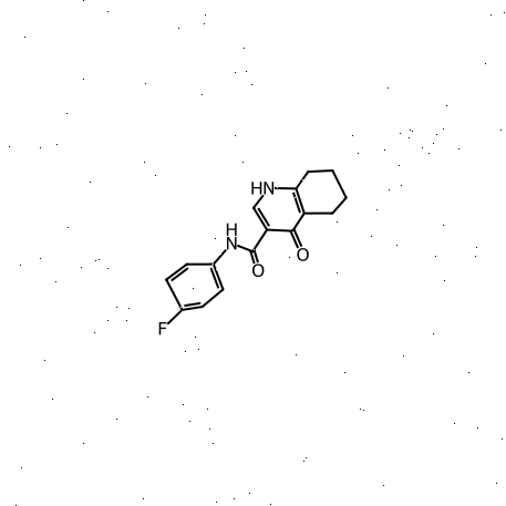 O=C(Nc1ccc(F)cc1)c1c[nH]c2c(c1=O)CCCC2